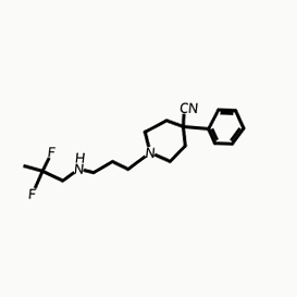 CC(F)(F)CNCCCN1CCC(C#N)(c2ccccc2)CC1